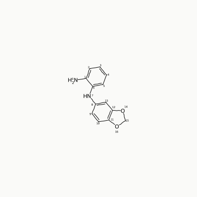 Nc1ccccc1Nc1ccc2c(c1)OCO2